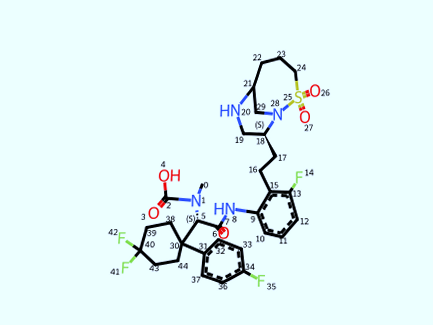 CN(C(=O)O)[C@H](C(=O)Nc1cccc(F)c1CC[C@H]1CNC2CCCS(=O)(=O)N1C2)C1(c2ccc(F)cc2)CCC(F)(F)CC1